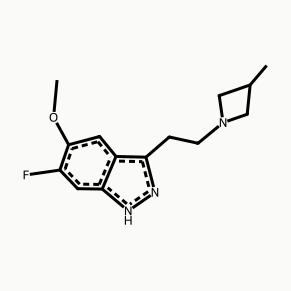 COc1cc2c(CCN3CC(C)C3)n[nH]c2cc1F